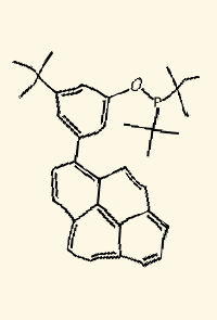 CC(C)(C)c1cc(OP(C(C)(C)C)C(C)(C)C)cc(-c2ccc3ccc4cccc5ccc2c3c45)c1